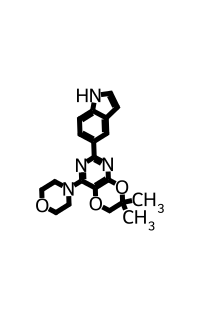 CC1(C)COc2c(nc(-c3ccc4[nH]ccc4c3)nc2N2CCOCC2)O1